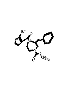 CC(C)(C)OC(=O)N1CCN(C(=O)c2ccsc2Br)C(Cc2ccccc2)C1